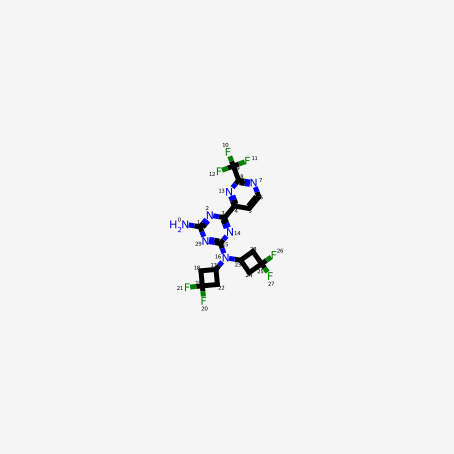 Nc1nc(-c2ccnc(C(F)(F)F)n2)nc(N(C2CC(F)(F)C2)C2CC(F)(F)C2)n1